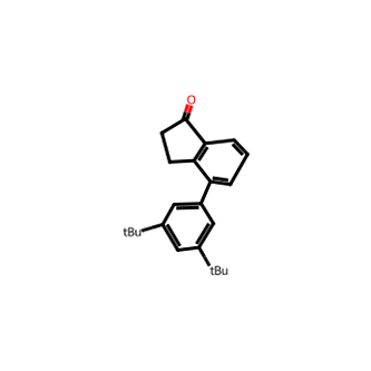 CC(C)(C)c1cc(-c2cccc3c2CCC3=O)cc(C(C)(C)C)c1